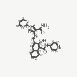 NC(=O)c1cn(-c2ncccn2)nc1/N=N/c1cc2ccccc2c(C(=O)Nc2ccncc2)c1O